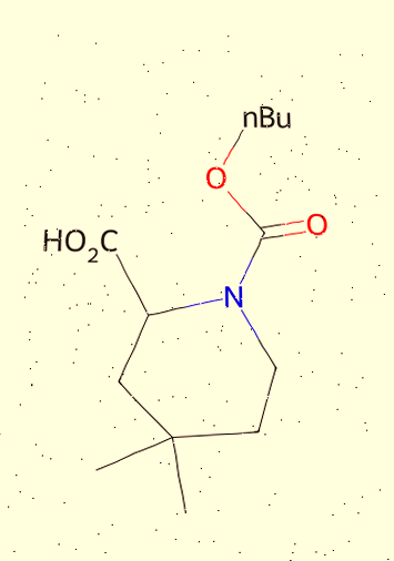 CCCCOC(=O)N1CCC(C)(C)CC1C(=O)O